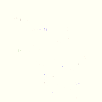 CC(C)(C)OC(=O)N1CCCCC[C@@H]1c1cc(Cl)ccc1CN1C(=C=S)NC(=O)c2[nH]cnc21